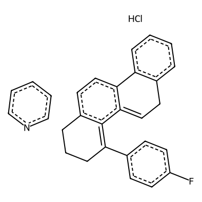 Cl.Fc1ccc(C2=c3c(ccc4c3=CCc3ccccc3-4)CCC2)cc1.c1ccncc1